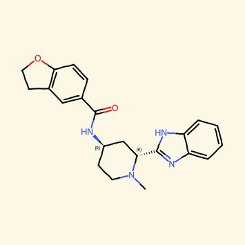 CN1CC[C@@H](NC(=O)c2ccc3c(c2)CCO3)C[C@@H]1c1nc2ccccc2[nH]1